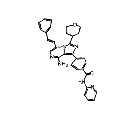 Nc1ncc(/C=C/c2ccccc2)n2c(C3CCOCC3)nc(-c3ccc(C(=O)Nc4ccccn4)cc3)c12